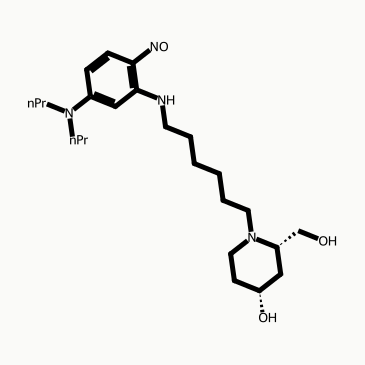 CCCN(CCC)c1ccc(N=O)c(NCCCCCCN2CC[C@@H](O)C[C@H]2CO)c1